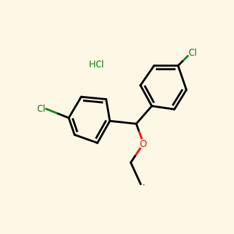 Cl.[CH2]COC(c1ccc(Cl)cc1)c1ccc(Cl)cc1